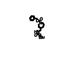 CC(C)(C)OC(=O)NCC1CCCN(C(=O)OCc2ccccc2)CC1